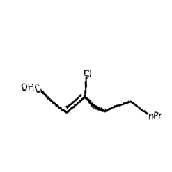 CCCCC/C(Cl)=C/C=O